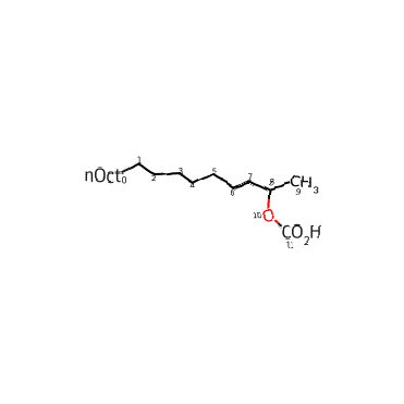 CCCCCCCCCCCCCCCC(C)OC(=O)O